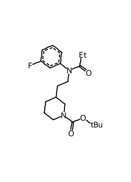 CCC(=O)N(CCC1CCCN(C(=O)OC(C)(C)C)C1)c1cccc(F)c1